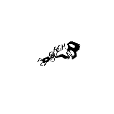 Cl.O=S(=O)(NCCCN1CCc2ccccc2C1)c1ccc(F)c(Cl)c1